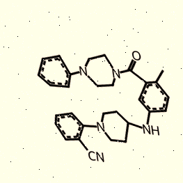 Cc1ccc(NC2CCN(c3ccccc3C#N)CC2)cc1C(=O)N1CCN(c2ccccc2)CC1